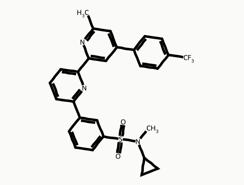 Cc1cc(-c2ccc(C(F)(F)F)cc2)cc(-c2cccc(-c3cccc(S(=O)(=O)N(C)C4CC4)c3)n2)n1